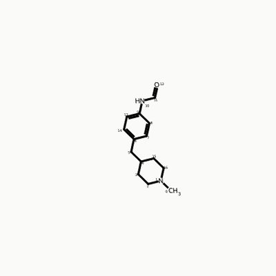 CN1CCC(Cc2ccc(NC=O)cc2)CC1